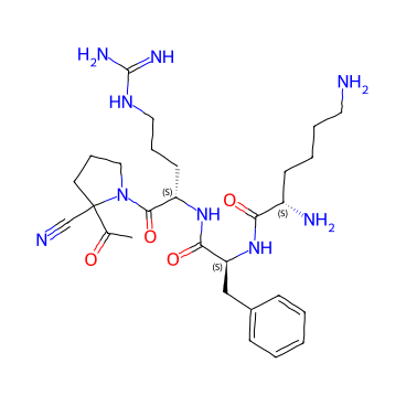 CC(=O)C1(C#N)CCCN1C(=O)[C@H](CCCNC(=N)N)NC(=O)[C@H](Cc1ccccc1)NC(=O)[C@@H](N)CCCCN